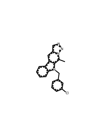 Cc1c2c(cc3cnnn13)c1ccccc1n2Cc1cccc(Cl)c1